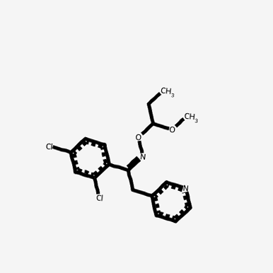 CCC(OC)ON=C(Cc1cccnc1)c1ccc(Cl)cc1Cl